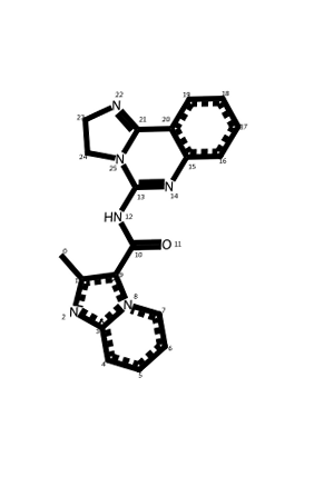 Cc1nc2ccccn2c1C(=O)NC1=Nc2ccccc2C2=NCCN12